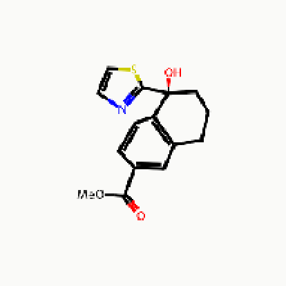 COC(=O)c1ccc2c(c1)CCC[C@@]2(O)c1nccs1